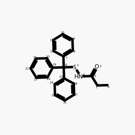 CCC(=O)NSC(c1ccccc1)(c1ccccc1)c1ccccc1